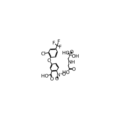 O=C(O)CNCP(=O)(O)O.O=C(O)c1cc(Oc2ccc(C(F)(F)F)cc2Cl)ccc1[N+](=O)[O-]